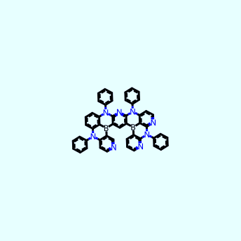 c1ccc(N2c3ccncc3B3c4cc5c(nc4N(c4ccccc4)c4cccc2c43)N(c2ccccc2)c2ccnc3c2B5c2cccnc2N3c2ccccc2)cc1